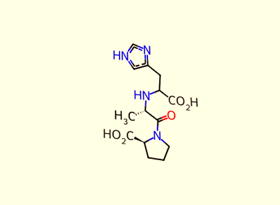 C[C@H](NC(Cc1c[nH]cn1)C(=O)O)C(=O)N1CCC[C@H]1C(=O)O